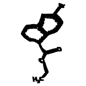 CCOC(=O)c1cccc2cc(Br)ccc12